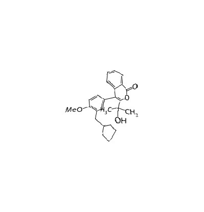 COc1ccc(-c2c(C(C)(C)O)oc(=O)c3ccccc23)cc1CC1CCCC1